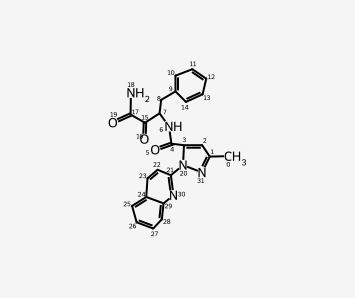 Cc1cc(C(=O)NC(Cc2ccccc2)C(=O)C(N)=O)n(-c2ccc3ccccc3n2)n1